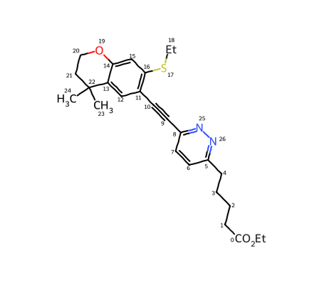 CCOC(=O)CCCCc1ccc(C#Cc2cc3c(cc2SCC)OCCC3(C)C)nn1